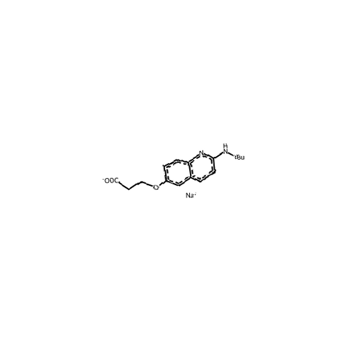 CC(C)(C)Nc1ccc2cc(OCCC(=O)[O-])ccc2n1.[Na+]